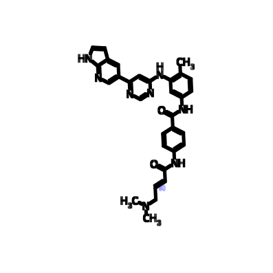 Cc1ccc(NC(=O)c2ccc(NC(=O)/C=C/CN(C)C)cc2)cc1Nc1cc(-c2cnc3[nH]ccc3c2)ncn1